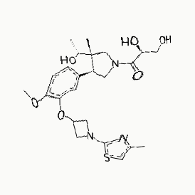 COc1ccc([C@@H]2CN(C(=O)[C@@H](O)CO)C[C@@]2(C)[C@@H](C)O)cc1OC1CN(c2nc(C)cs2)C1